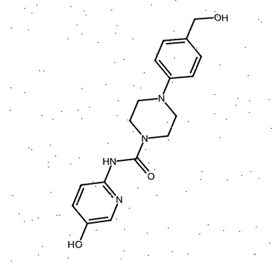 O=C(Nc1ccc(O)cn1)N1CCN(c2ccc(CO)cc2)CC1